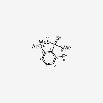 CCc1cccc(OC(C)=O)c1P(=S)(SC)SC